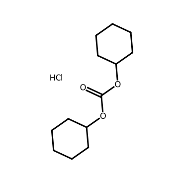 Cl.O=C(OC1CCCCC1)OC1CCCCC1